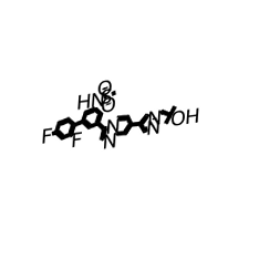 CC(C)(O)Cn1cc(-c2ccn3c(-c4cc(NS(C)(=O)=O)cc(-c5ccc(F)cc5F)c4)cnc3c2)cn1